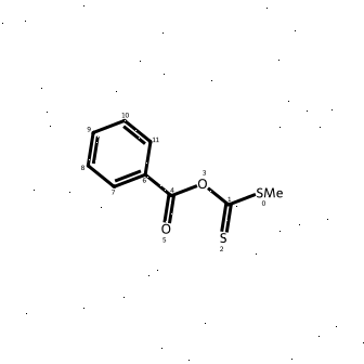 CSC(=S)OC(=O)c1ccccc1